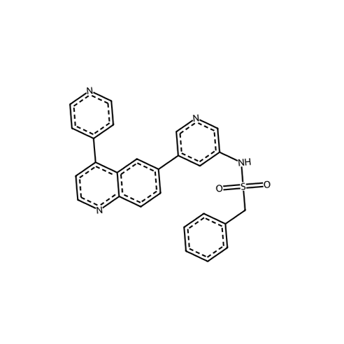 O=S(=O)(Cc1ccccc1)Nc1cncc(-c2ccc3nccc(-c4ccncc4)c3c2)c1